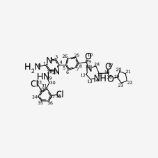 Nc1ncc(-c2ccc(C(=O)N3CCNC(C(=O)OC4CCCC4)C3)cc2)nc1NCc1c(Cl)cccc1Cl